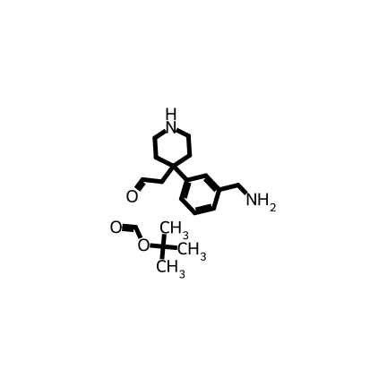 CC(C)(C)OC=O.NCc1cccc(C2(CC=O)CCNCC2)c1